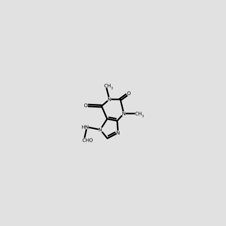 Cn1c(=O)c2c(ncn2NC=O)n(C)c1=O